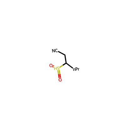 CCCC(CC#N)[SH](=O)=O